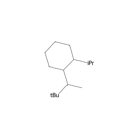 C[C](C1CCCCC1C(C)C)C(C)(C)C